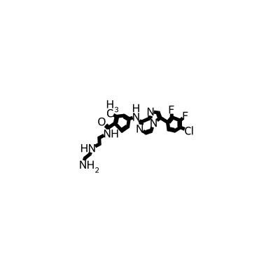 Cc1cc(Nc2nccn3c(-c4ccc(Cl)c(F)c4F)cnc23)ccc1C(=O)NCCNCCN